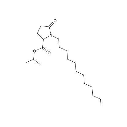 CCCCCCCCCCCCN1C(=O)CCC1C(=O)OC(C)C